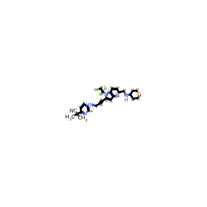 CC(C)(C#N)c1ccc(NCC#Cc2cc3nc(CNC4CCOCC4)ccc3n2C(F)(F)CF)cn1